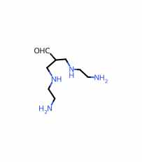 NCCNCC(C=O)CNCCN